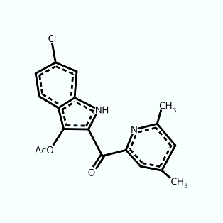 CC(=O)Oc1c(C(=O)c2cc(C)cc(C)n2)[nH]c2cc(Cl)ccc12